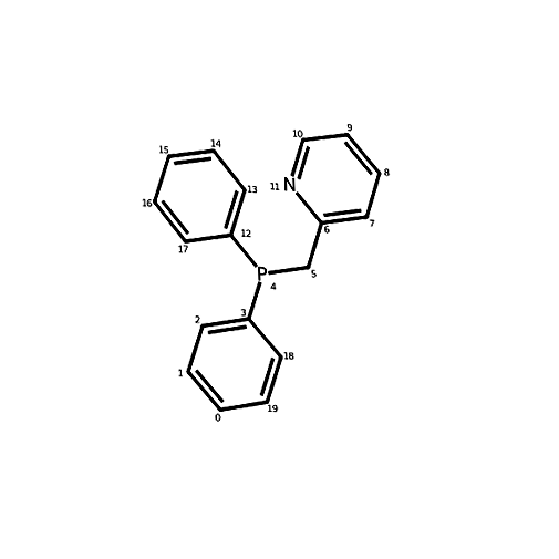 c1ccc(P(Cc2ccccn2)c2ccccc2)cc1